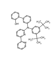 CC(C)(C)c1cc(N(c2cccc(-c3ccccc3O)c2)c2cccc(-c3ccccn3)n2)cc(C(C)(C)C)c1